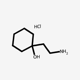 Cl.NCCC1(O)CCCCC1